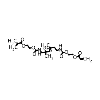 C=CC(=O)OCCOC(=O)NCCC(C)CC(C)(C)CNC(=O)OCCOC(=O)C(=C)C